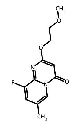 COCCOc1cc(=O)n2cc(C)cc(F)c2n1